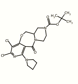 CC(C)(C)OC(=O)N1CCN2C(=O)c3c(N4CCCC4)nc(Cl)c(Cl)c3OCC2C1